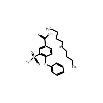 CCCCNCCCC.NS(=O)(=O)c1cc(C(=O)O)ccc1Oc1ccccc1